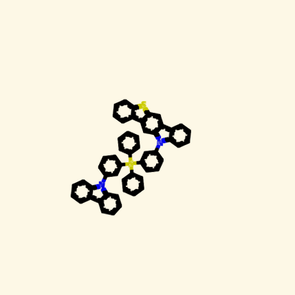 c1ccc(S(c2ccccc2)(c2cccc(-n3c4ccccc4c4ccccc43)c2)c2cccc(-n3c4ccccc4c4cc5sc6ccccc6c5cc43)c2)cc1